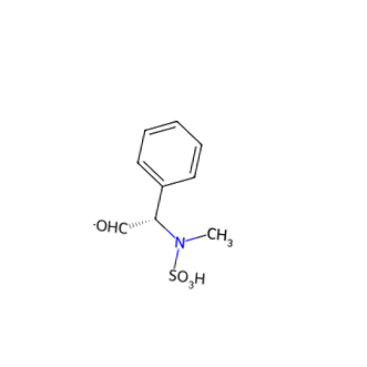 CN([C@H]([C]=O)c1ccccc1)S(=O)(=O)O